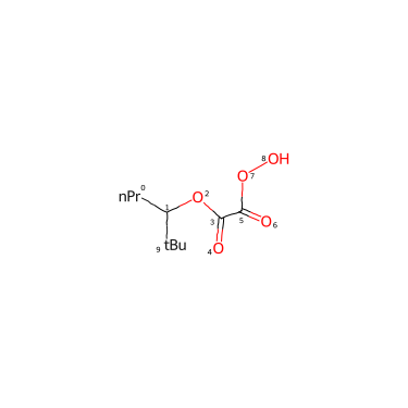 CCCC(OC(=O)C(=O)OO)C(C)(C)C